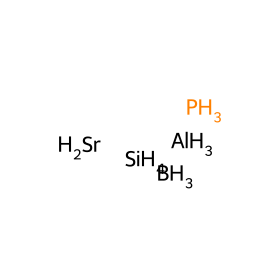 B.P.[AlH3].[SiH4].[SrH2]